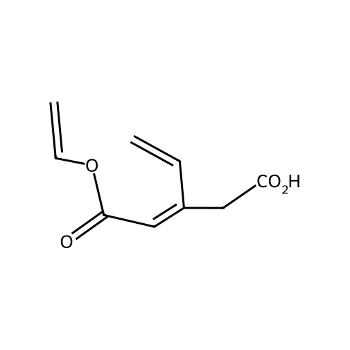 C=COC(=O)C=C(C=C)CC(=O)O